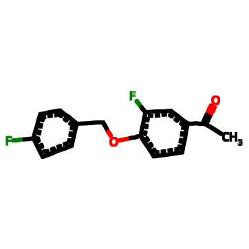 CC(=O)c1ccc(OCc2ccc(F)cc2)c(F)c1